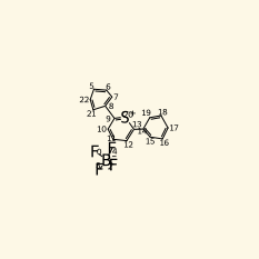 F[B-](F)(F)F.c1ccc(-c2cccc(-c3ccccc3)[s+]2)cc1